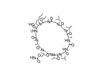 CCCC[C@@H](C)[C@@H](O)[C@H]1C(=O)N[C@@H](CC)C(=O)N(C)[C@H](C)C(=O)N(C)[C@@H](C(C)(C)COC(=O)NC)C(=O)N[C@@H](C(C)C)C(=O)N(C)[C@@H](CC(C)C)C(=O)N[C@@H](C)C(=O)N[C@H](C)C(=O)N(C)[C@@H](CC(C)C)C(=O)N(C)[C@@H](CC(C)C)C(=O)N(C)[C@@H](C(C)C)C(=O)N1C